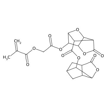 C=C(C)C(=O)OCC(=O)OC1C2OC(=O)C3C2OC1C3C(=O)OC1C2CC3C(=O)OC1C3C2